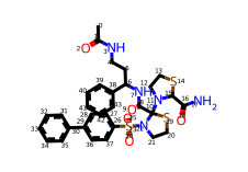 CC(=O)NCCC(NC(=O)C1(N2CCSC2C(N)=O)SCCN1S(=O)(=O)c1ccc(-c2ccccc2)cc1)c1ccccc1